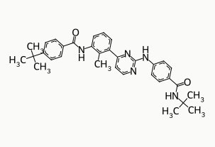 Cc1c(NC(=O)c2ccc(C(C)(C)C)cc2)cccc1-c1ccnc(Nc2ccc(C(=O)NC(C)(C)C)cc2)n1